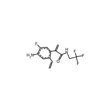 C=Cc1cc(N)c(F)cc1C(=C)C(=O)NCC(F)(F)F